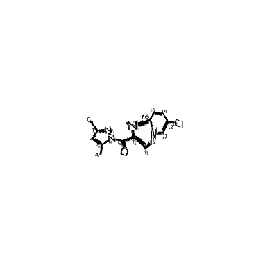 Cc1cc(C)n(C(=O)c2cn3cc(Cl)ccc3n2)n1